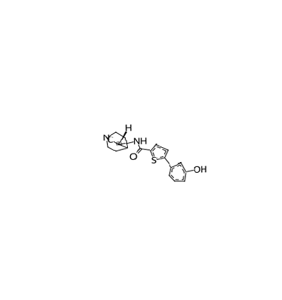 O=C(N[C@H]1CN2CCC1CC2)c1ccc(-c2cccc(O)c2)s1